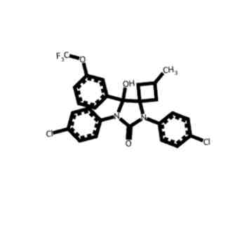 CC1CC2(C1)N(c1ccc(Cl)cc1)C(=O)N(c1ccc(Cl)cc1)C2(O)c1cccc(OC(F)(F)F)c1